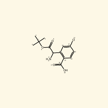 CC(C)(C)OC(=O)C(N)c1cc(Cl)ccc1C(=O)O